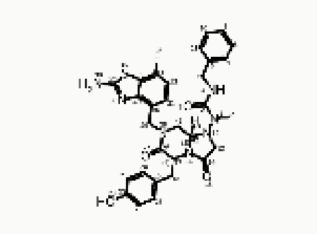 CN(C(=O)NCc1ccccc1)N1CC(=O)N2[C@@H](Cc3ccc(O)cc3)C(=O)N(Cc3ccc(F)c4sc(N)nc34)C[C@@H]21